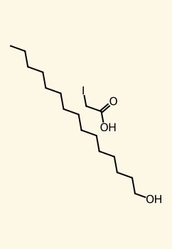 CCCCCCCCCCCCCCCO.O=C(O)CI